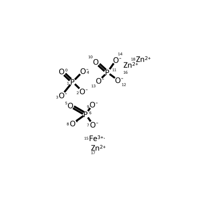 O=P([O-])([O-])[O-].O=P([O-])([O-])[O-].O=P([O-])([O-])[O-].[Fe+3].[Zn+2].[Zn+2].[Zn+2]